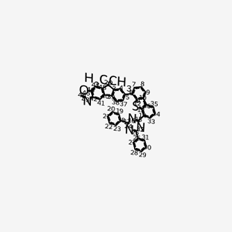 CC1(C)c2cc(-c3cccc4c3sc3c(-c5nc(-c6ccccc6)nc(-c6ccccc6)n5)cccc34)ccc2-c2cc3ncoc3cc21